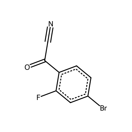 N#CC(=O)c1ccc(Br)cc1F